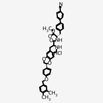 COC(=O)[C@H](Cc1ccc(-c2ccc(C#N)cc2)cc1)NC(=O)C1Cc2cc3c(cc2CN1)O[C@@H](c1ccc(OCc2ccc(C)c(C)c2)cc1)CO3.Cl